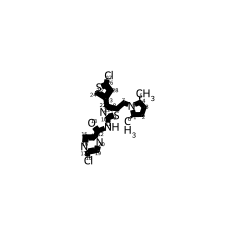 C[C@@H]1CC[C@@H](C)N1Cc1sc(NC(=O)c2cnc(Cl)cn2)nc1-c1csc(Cl)c1